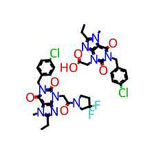 CCc1nc2c(c(=O)n(Cc3ccc(Cl)cc3)c(=O)n2CC(=O)N2CCC(F)(F)C2)n1C.CCc1nc2c(c(=O)n(Cc3ccc(Cl)cc3)c(=O)n2CC(=O)O)n1C